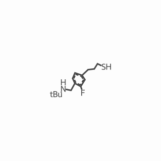 CC(C)(C)NCc1ccc(CCCS)cc1F